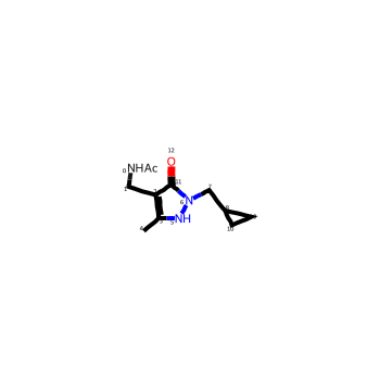 CC(=O)NCc1c(C)[nH]n(CC2CC2)c1=O